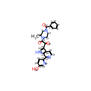 C[C@@H]1CN(C(=O)c2ccccc2)CCN1C(=O)C(=O)c1c[nH]c2c(-c3ccc(O)cn3)nccc12